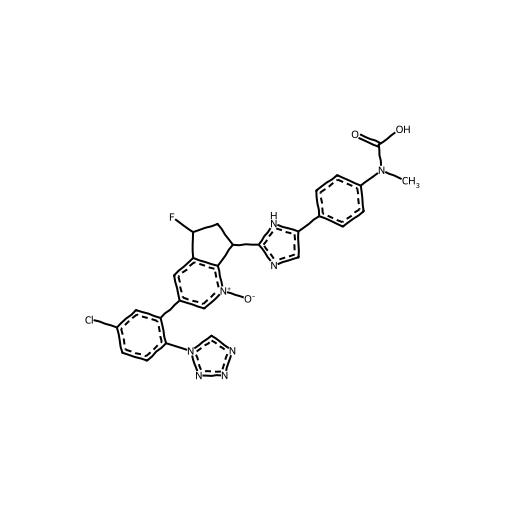 CN(C(=O)O)c1ccc(-c2cnc(C3CC(F)c4cc(-c5cc(Cl)ccc5-n5cnnn5)c[n+]([O-])c43)[nH]2)cc1